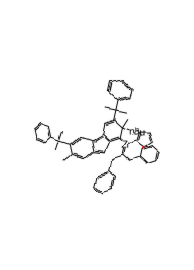 CCCCC1(C)C(C(C)(C)c2ccccc2)=CC2=c3cc(C(C)(C)c4ccccc4)c(C)cc3=CC2=[C]1[Zr]([C]1=CC=CC1)=[C](Cc1ccccc1)Cc1ccccc1